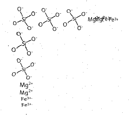 [Fe+3].[Fe+3].[Fe+3].[Fe+3].[Mg+2].[Mg+2].[Mg+2].[Mg+2].[O-][Si]([O-])([O-])[O-].[O-][Si]([O-])([O-])[O-].[O-][Si]([O-])([O-])[O-].[O-][Si]([O-])([O-])[O-].[O-][Si]([O-])([O-])[O-]